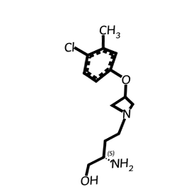 Cc1cc(OC2CN(CC[C@H](N)CO)C2)ccc1Cl